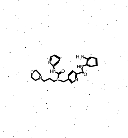 Nc1ccccc1NC(=O)c1ccc(CN(CCCN2CCOCC2)C(=O)Nc2ccccn2)cn1